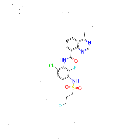 Cc1ncnc2c(C(=O)Nc3c(Cl)ccc(NS(=O)(=O)CCCF)c3F)cccc12